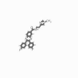 Cn1cnc(CCNC(=O)c2ccc3nc(-c4ccc(F)cc4)c(-c4ccc(F)cc4)nc3c2)c1